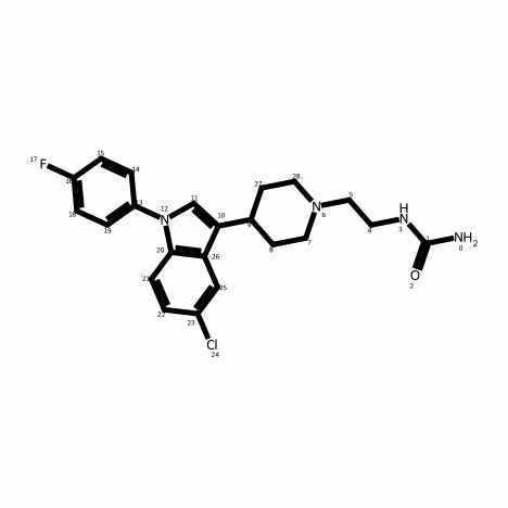 NC(=O)NCCN1CCC(c2cn(-c3ccc(F)cc3)c3ccc(Cl)cc23)CC1